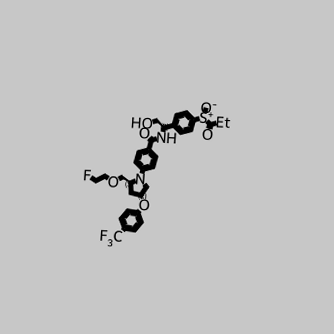 CCC(=O)[S+]([O-])c1ccc([C@H](CO)NC(=O)c2ccc(N3C[C@H](Oc4ccc(C(F)(F)F)cc4)C[C@H]3COCCF)cc2)cc1